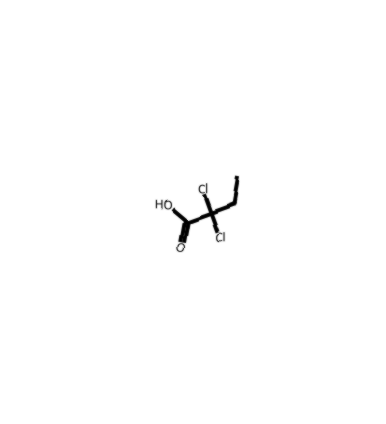 CCC(Cl)(Cl)C(=O)O